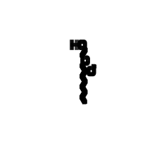 CCCCCCC(COCCO)OC